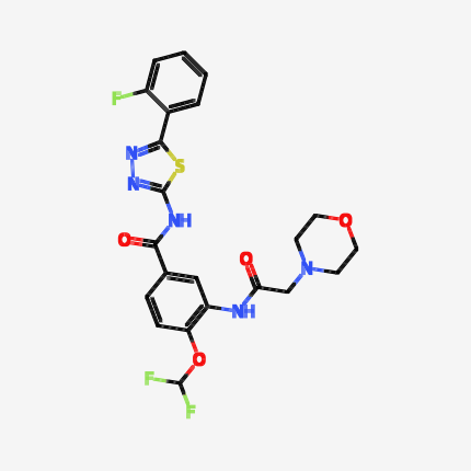 O=C(CN1CCOCC1)Nc1cc(C(=O)Nc2nnc(-c3ccccc3F)s2)ccc1OC(F)F